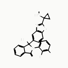 O=CNC1(c2nc3cc(C4(O)c5ccccc5C(=O)N4c4cccc(Cl)c4F)ccc3[nH]2)CC1